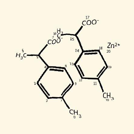 Cc1ccc(C(C)C(=O)[O-])cc1.Cc1ccc(C(C)C(=O)[O-])cc1.[Zn+2]